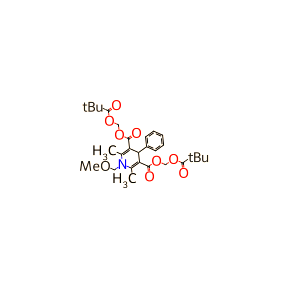 COCN1C(C)=C(C(=O)OCOC(=O)C(C)(C)C)C(c2ccccc2)C(C(=O)OCOC(=O)C(C)(C)C)=C1C